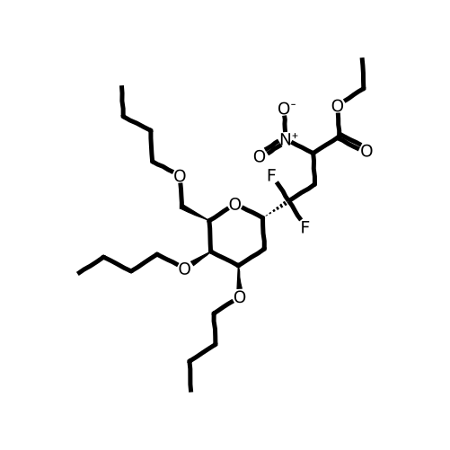 CCCCOC[C@H]1O[C@H](C(F)(F)CC(C(=O)OCC)[N+](=O)[O-])C[C@@H](OCCCC)[C@H]1OCCCC